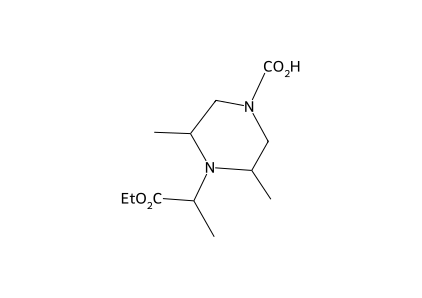 CCOC(=O)C(C)N1C(C)CN(C(=O)O)CC1C